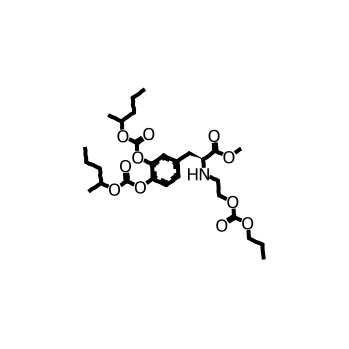 CCCOC(=O)OCCN[C@@H](Cc1ccc(OC(=O)OC(C)CCC)c(OC(=O)OC(C)CCC)c1)C(=O)OC